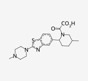 CC1CCC(c2ccc3sc(N4CCN(C)CC4)nc3c2)N(C(=O)C(=O)O)C1